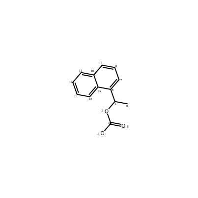 CC(OC([O])=O)c1cccc2ccccc12